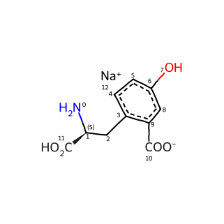 N[C@@H](Cc1ccc(O)cc1C(=O)[O-])C(=O)O.[Na+]